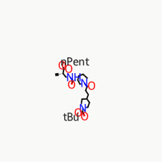 C#C[C@@H](CNC(=O)[C@@H]1CCCN(C(=O)CCC2CCN(C(=O)OC(C)(C)C)CC2)C1)C(=O)OCCCCC